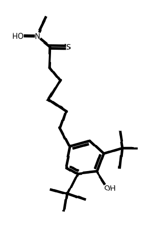 CN(O)C(=S)CCCCCc1cc(C(C)(C)C)c(O)c(C(C)(C)C)c1